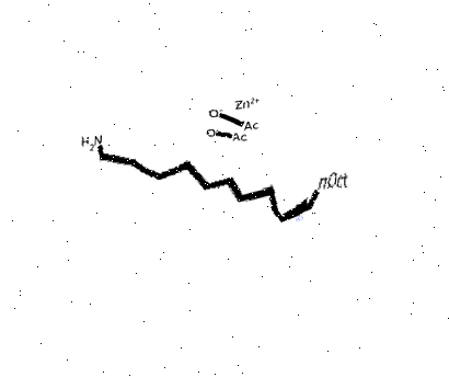 CC(=O)[O-].CC(=O)[O-].CCCCCCCC/C=C\CCCCCCCCN.[Zn+2]